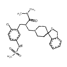 CN(C)C(=O)C(Cc1cc(NS(C)(=O)=O)ccc1Cl)CN1CCC2(CC1)OCc1ccccc12